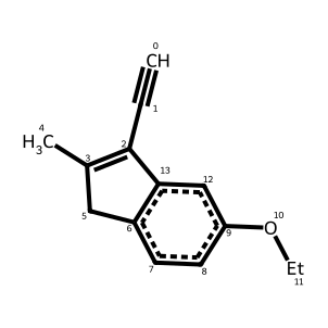 C#CC1=C(C)Cc2ccc(OCC)cc21